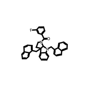 O=C(c1cccc(F)c1)N1CCC2(Cc3cccc4ccccc34)c3ccccc3N(Cc3cccc4ccccc34)C12